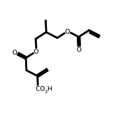 C=CC(=O)OCC(C)COC(=O)CC(=C)C(=O)O